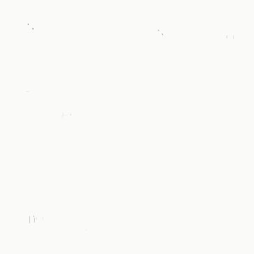 O=CC1=Nc2cc(=C(O)c3ccncc3F)c(-c3ccc(C4(CO)CC4)cc3)cc2=C1